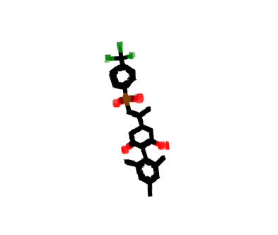 Cc1cc(C)c(C2=C(O)CC(C(C)CS(=O)(=O)c3ccc(C(F)(F)F)cc3)CC2=O)c(C)c1